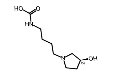 O=C(O)NCCCCN1CC[C@H](O)C1